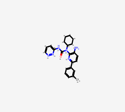 Nc1ccc(-c2cccc(C(F)(F)F)c2)nc1N(C(=O)Nc1cccnn1)C1CCCCC1